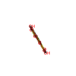 O=C(CSCSCSCSCCOOCSCSCSCSCOC(=O)CSCSCSCSCC(=O)OCCCO)OCCCO